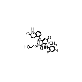 Cn1c(Nc2ccc(I)cc2F)c(C(=O)NOCCO)c(Oc2cccc3c2CCC(=O)N3)cc1=O